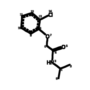 CC(C)NC(=O)COc1ccccc1Cl